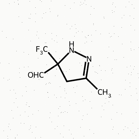 CC1=NNC(C=O)(C(F)(F)F)C1